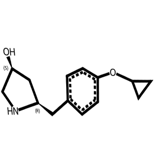 O[C@@H]1CN[C@H](Cc2ccc(OC3CC3)cc2)C1